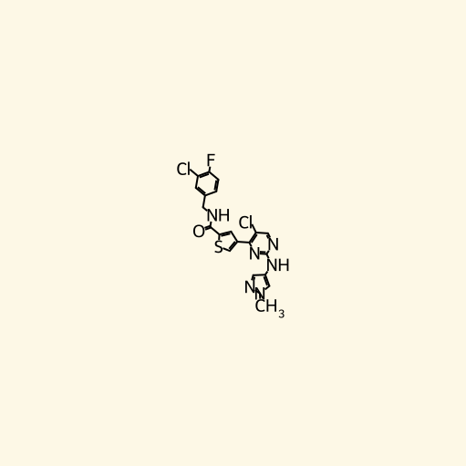 Cn1cc(Nc2ncc(Cl)c(-c3csc(C(=O)NCc4ccc(F)c(Cl)c4)c3)n2)cn1